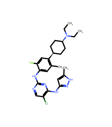 CCN(CC)[C@H]1CC[C@@H](c2cc(F)c(Nc3ncc(Cl)c(Nc4cc(C)[nH]n4)n3)cc2C)CC1